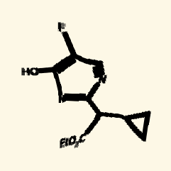 CCOC(=O)C(c1ncc(F)c(O)n1)C1CC1